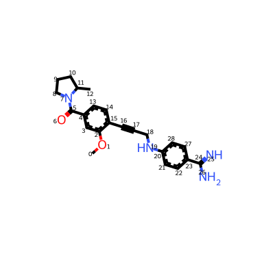 COc1cc(C(=O)N2CCCC2C)ccc1C#CCNc1ccc(C(=N)N)cc1